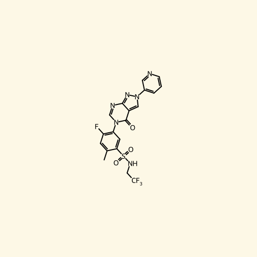 Cc1cc(F)c(-n2cnc3nn(-c4cccnc4)cc3c2=O)cc1S(=O)(=O)NCC(F)(F)F